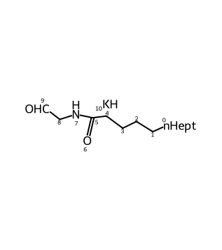 CCCCCCCCCCCC(=O)NCC=O.[KH]